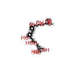 CO[Si](CCCOCC(O)CCc1cc(Cc2ccc(O)c(CCC(O)COCCC[Si](CO)(CO)CO)c2)ccc1O)(OC)OC